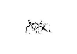 CCS(=O)(Cl)=N[Si](C)(C)C(C)(C)C